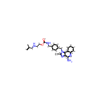 C=C(C)CNCCOC(=O)NCc1ccc(Cn2c(CC)nc3c(N)nc4ccccc4c32)cc1